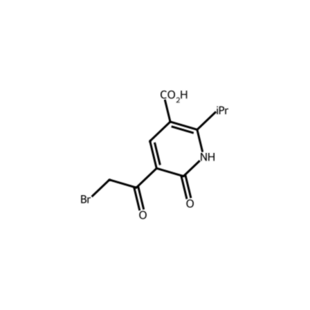 CC(C)c1[nH]c(=O)c(C(=O)CBr)cc1C(=O)O